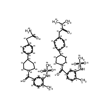 Cc1ccc(C(=O)N2CCC(c3ccc(CC(=O)N(C)C)cc3)CC2)cc1NS(C)(=O)=O.Cc1ccc(C(=O)N2CCC(c3ccc(CC(N)=O)cc3)CC2)cc1NS(C)(=O)=O